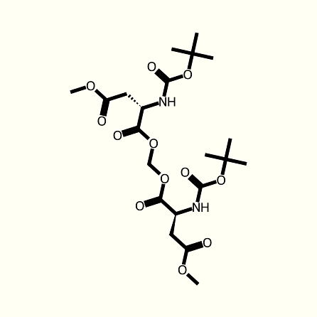 COC(=O)C[C@H](NC(=O)OC(C)(C)C)C(=O)OCOC(=O)[C@H](CC(=O)OC)NC(=O)OC(C)(C)C